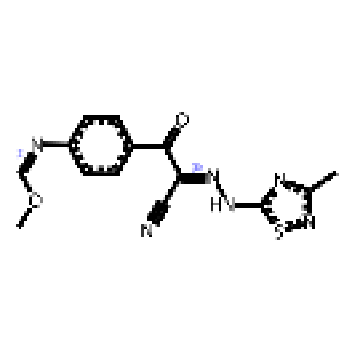 CO/C=N\c1ccc(C(=O)/C(C#N)=N/Nc2nc(C)ns2)cc1